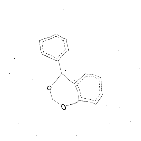 c1ccc(C2OCOc3ccccc32)cc1